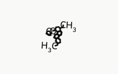 C1=CCOC=C1.CCC1C=c2ccc3c4c(ccc3c2=CC1)C(CC)CCC4=O